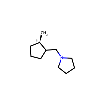 C[C@@H]1CCCC1CN1CCCC1